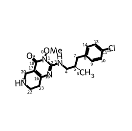 COn1c(NC[C@@H](C)Cc2ccc(Cl)cc2)nc2c(c1=O)CNCC2